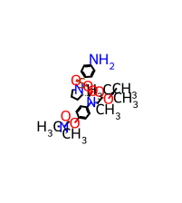 C[C@@H](C(=O)OC(C)(C)C)N(C(=O)[C@@H]1CCCN1S(=O)(=O)c1ccc(N)cc1)c1ccc(OC(=O)N(C)C)cc1